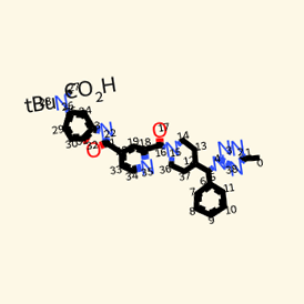 Cc1nnn(C(c2ccccc2)C2CCN(C(=O)c3cc(-c4nc5cc(N(C(=O)O)C(C)(C)C)ccc5o4)ccn3)CC2)n1